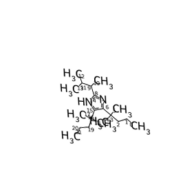 CCCC(C)(C)c1nc(C(C)C(C)C)[nH]c1C(C)(C)CCC